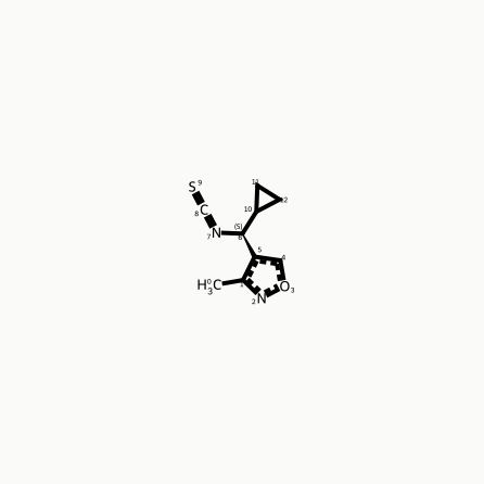 Cc1nocc1[C@@H](N=C=S)C1CC1